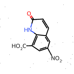 O=C(O)c1cc([N+](=O)[O-])cc2ccc(=O)[nH]c12